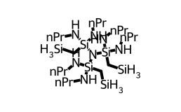 CCCN[Si](C[SiH3])(NCCC)N([Si](C[SiH3])(NCCC)NCCC)[Si](C[SiH3])(NCCC)NCCC